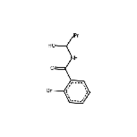 CC(C)C(O)NC(=O)c1ccccc1Br